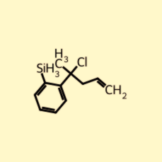 C=CCC(C)(Cl)c1ccccc1[SiH3]